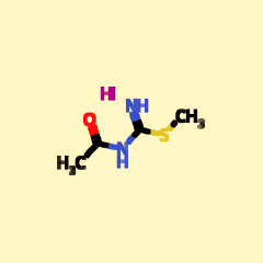 CSC(=N)NC(C)=O.I